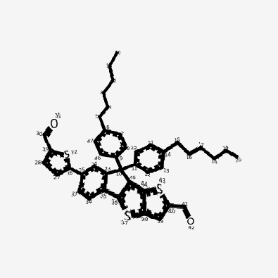 CCCCCCc1ccc(C2(c3ccc(CCCCCC)cc3)c3cc(-c4ccc(C=O)s4)ccc3-c3sc4cc(C=O)sc4c32)cc1